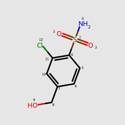 NS(=O)(=O)c1ccc(CO)cc1Cl